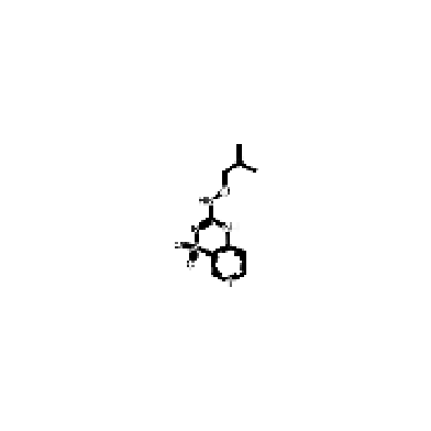 CC(C)CONC1=NS(=O)(=O)c2cnccc2N1